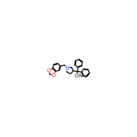 COC(c1ccccc1)(c1ccccc1)C1CCN(Cc2ccc3c(c2)OCO3)C1